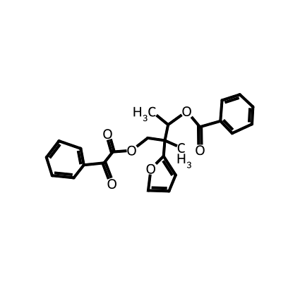 CC(OC(=O)c1ccccc1)C(C)(COC(=O)C(=O)c1ccccc1)c1ccco1